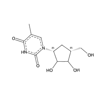 Cc1cn([C@@H]2C[C@H](CO)C(O)C2O)c(=O)[nH]c1=O